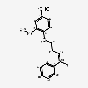 CCOc1cc(C=O)ccc1OCCC=C(C)c1ccccc1